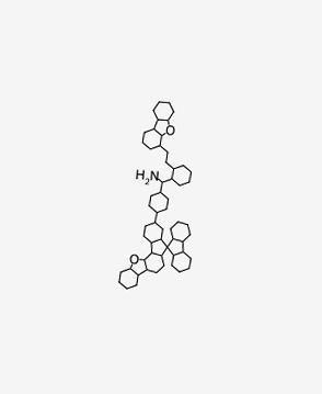 NC(C1CCC(C2CCC3C4C5OC6CCCCC6C5CCC4C4(C5CCCCC5C5CCCCC54)C3C2)CC1)C1CCCCC1CCC1CCCC2C3CCCCC3OC12